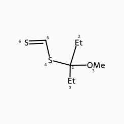 CCC(CC)(OC)SC=S